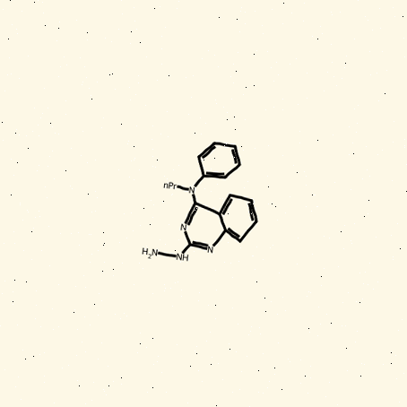 CCCN(c1ccccc1)c1nc(NN)nc2ccccc12